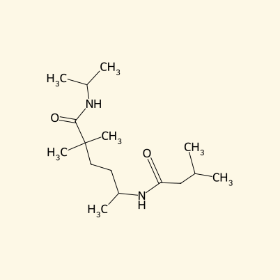 CC(C)CC(=O)NC(C)CCC(C)(C)C(=O)NC(C)C